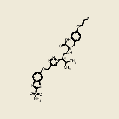 CC(C)[C@H](CN[C@@H](Cc1ccc(OCCF)cc1)C(=O)O)n1cc(COc2ccc3nc(S(N)(=O)=O)sc3c2)nn1